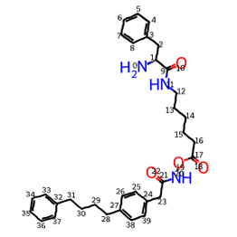 N[C@@H](Cc1ccccc1)C(=O)NCCCCCC(=O)ONC(=O)Cc1ccc(CCCCc2ccccc2)cc1